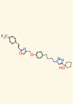 OC1(c2cn(CCCCc3ccc(OCc4coc(C=Cc5ccc(C(F)(F)F)cc5)n4)cc3)nn2)CCCC1